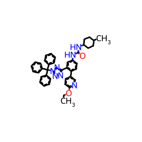 CCOc1ccc(-c2ccc(NC(=O)NC3CCC(C)CC3)cc2-c2nnn(C(c3ccccc3)(c3ccccc3)c3ccccc3)n2)cn1